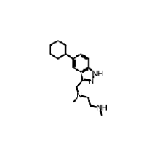 CNCCN(C)Cc1n[nH]c2ccc(C3CCCCC3)cc12